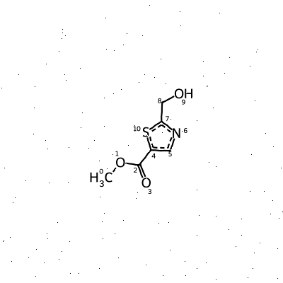 COC(=O)c1cnc(CO)s1